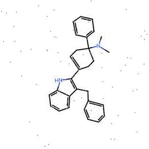 CN(C)C1(c2ccccc2)CC=C(c2[nH]c3ccccc3c2Cc2ccccc2)CC1